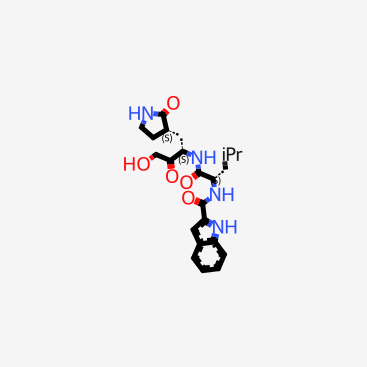 CC(C)C[C@H](NC(=O)c1cc2ccccc2[nH]1)C(=O)N[C@@H](C[C@@H]1CCNC1=O)C(=O)CO